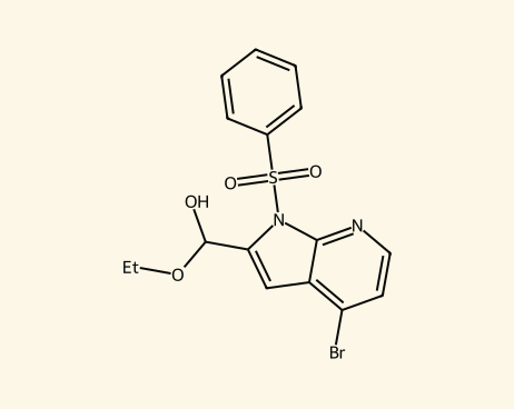 CCOC(O)c1cc2c(Br)ccnc2n1S(=O)(=O)c1ccccc1